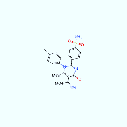 CNC(=N)c1c(SC)n(-c2ccc(C)cc2)c(-c2ccc(S(N)(=O)=O)cc2)nc1=O